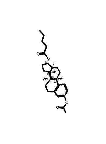 CCCCC(=O)O[C@H]1CC[C@H]2[C@@H]3CCc4cc(OC(C)=O)ccc4[C@H]3CC[C@]12C